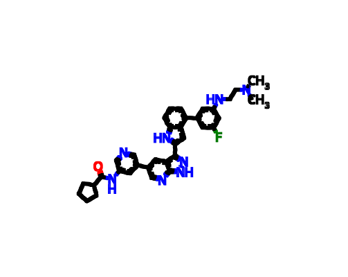 CN(C)CCNc1cc(F)cc(-c2cccc3[nH]c(-c4n[nH]c5ncc(-c6cncc(NC(=O)C7CCCC7)c6)cc45)cc23)c1